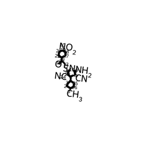 Cc1ccc(-c2c(C#N)c(N)nc(SCC(=O)c3ccc([N+](=O)[O-])cc3)c2C#N)cc1